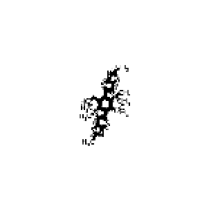 COc1c2c(c(CO)c3c1[Si](C)(C)c1c-3sc3nc(C)sc13)[Si](C)(C)c1c-2sc2nc(C)sc12